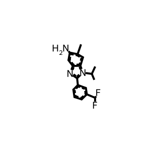 Cc1cc2c(cc1N)nc(-c1cccc(C(F)F)c1)n2C(C)C